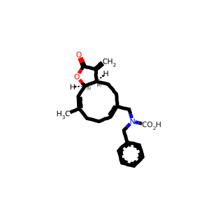 C=C1C(=O)O[C@@H]2C=C(C)CCC=C(CN(Cc3ccccc3)C(=O)O)CC[C@H]12